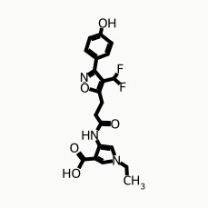 CCn1cc(NC(=O)CCc2onc(-c3ccc(O)cc3)c2C(F)F)c(C(=O)O)c1